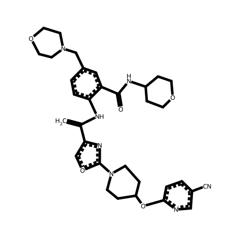 C=C(Nc1ccc(CN2CCOCC2)cc1C(=O)NC1CCOCC1)c1coc(N2CCC(Oc3ccc(C#N)cn3)CC2)n1